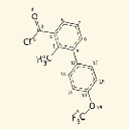 Cc1c(C(=O)Cl)cccc1-c1ccc(OC(F)(F)F)cc1